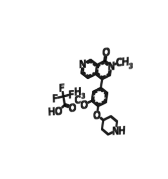 COc1cc(-c2cn(C)c(=O)c3cnccc23)ccc1OC1CCNCC1.O=C(O)C(F)(F)F